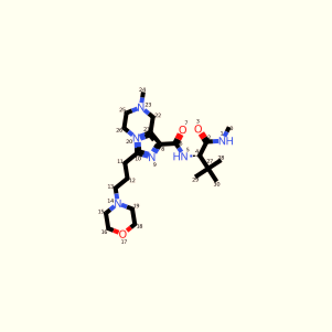 CNC(=O)[C@@H](NC(=O)c1nc(CCCN2CCOCC2)n2c1CN(C)CC2)C(C)(C)C